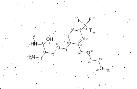 CNC(O)C(CN)COCC1CCC(C(F)(F)F)N=C1COCCOC